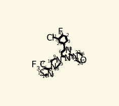 Fc1ccc(-c2cc(N3CCN(c4ncsc4C(F)(F)F)CC3)nc(N3CCOCC3)n2)cc1Cl